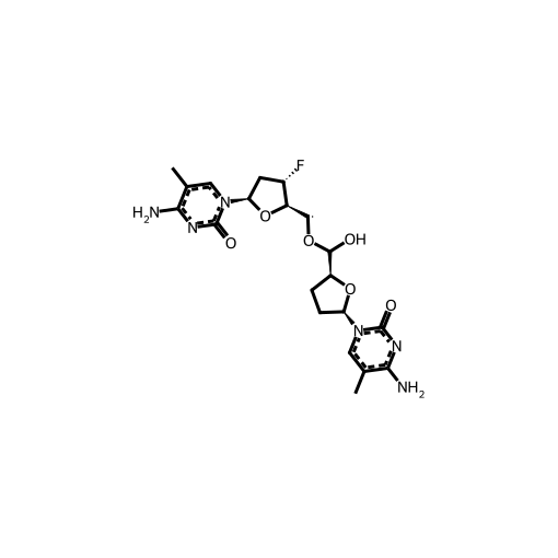 Cc1cn([C@H]2CC[C@@H](C(O)O[CH][C@H]3O[C@@H](n4cc(C)c(N)nc4=O)C[C@@H]3F)O2)c(=O)nc1N